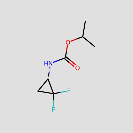 CC(C)OC(=O)N[C@H]1CC1(F)F